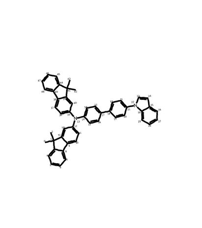 CC1(C)c2ccccc2-c2ccc(N(c3ccc(-c4ccc(-n5ccc6ccccc65)cc4)cc3)c3ccc4c(c3)C(C)(C)c3ccccc3-4)cc21